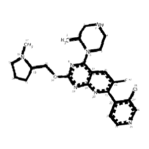 CC1CNCCN1c1nc(OCC2CCCN2C)nc2nc(-c3ccncc3Cl)c(F)cc12